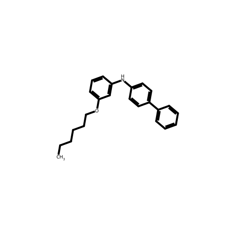 CCCCCCOc1cccc(Nc2ccc(-c3ccccc3)cc2)c1